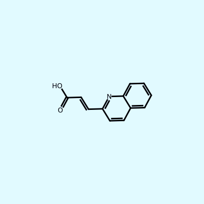 O=C(O)C=Cc1ccc2ccccc2n1